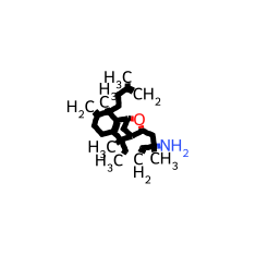 C=CC(C)(N)CC1OC2CC1C(C)(CC)C1=C2C(C)(CCC(=C)C)C(=C)CC1